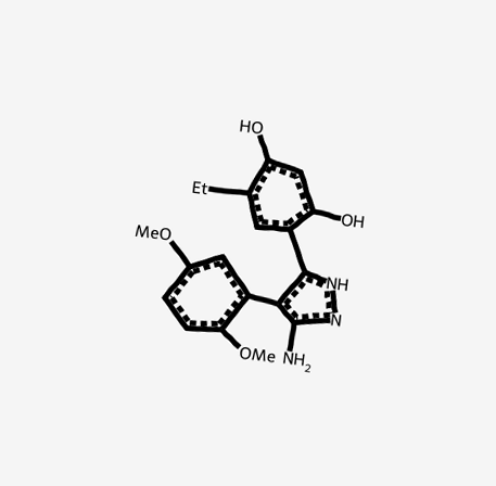 CCc1cc(-c2[nH]nc(N)c2-c2cc(OC)ccc2OC)c(O)cc1O